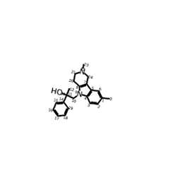 Cc1ccc2c(c1)c1c(n2CC(C)(O)c2cc[c]cc2)CCN(C)C1